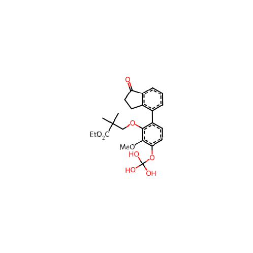 CCOC(=O)C(C)(C)COc1c(-c2cccc3c2CCC3=O)ccc(OC(O)(O)O)c1OC